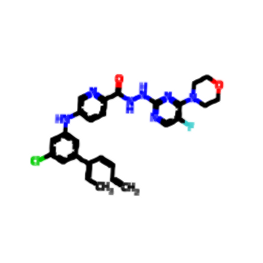 C=C/C=C\C(=C/C)c1cc(Cl)cc(Nc2ccc(C(=O)NNc3ncc(F)c(N4CCOCC4)n3)nc2)c1